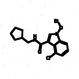 CCOn1cc(C(=O)NCC2CCCC2)c2c(Cl)cccc21